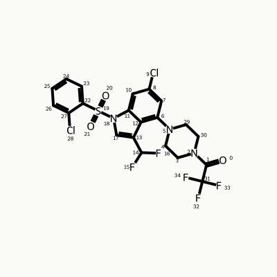 O=C(N1CCN(c2cc(Cl)cc3c2c(C(F)F)cn3S(=O)(=O)c2ccccc2Cl)CC1)C(F)(F)F